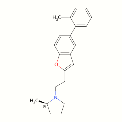 Cc1ccccc1-c1ccc2oc(CCN3CCC[C@H]3C)cc2c1